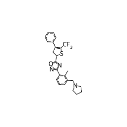 Cc1c(CN2CCCC2)cccc1-c1noc(C2CC(c3ccccc3)=C(C(F)(F)F)S2)n1